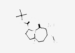 CC(C)(C)OC(=O)[C@@H]1CC[C@H]2CC[C@@H](CO)[C@@H](N)C(=O)N21